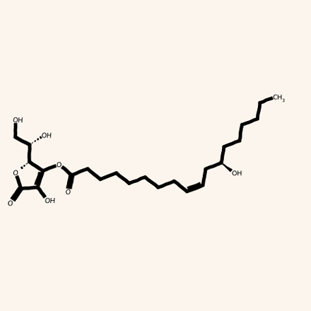 CCCCCC[C@@H](O)C/C=C\CCCCCCCC(=O)OC1=C(O)C(=O)O[C@@H]1[C@@H](O)CO